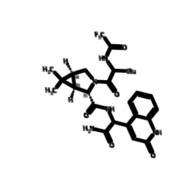 CC(C)(C)C(NC(=O)C(F)(F)F)C(=O)N1C[C@H]2[C@@H]([C@H]1C(=O)NC(C(N)=O)c1cc(=O)[nH]c3ccccc13)C2(C)C